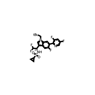 CC(C)(C)Cn1cc([C@H](NS(=O)(=O)C2CC2)C(F)F)c2cc(F)c(-c3ncc(F)cc3F)cc21